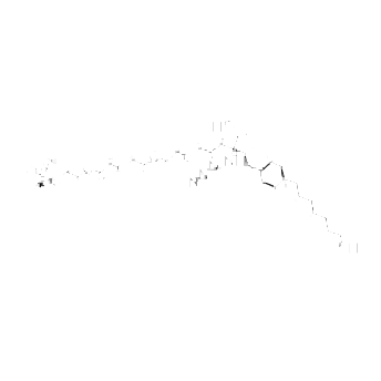 CCCCCCCCc1ccc(CCC(N)(CO)CC(COCCOCCOCCOCCOP(=O)(O)O)N=[N+]=[N-])cc1